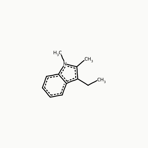 CCc1c(C)n(C)c2ccccc12